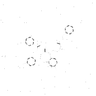 Cc1ccc([C@H]2Sc3cc(C)ccc3N(CCN(C)C(=O)OCc3ccccc3)C(=O)[C@H]2OC(=O)c2ccccc2)cc1